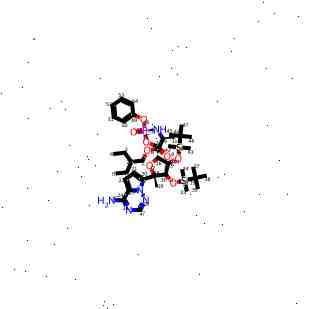 CCC(CC)COC(=O)[C@H](C)N[P@](=O)(OC[C@H]1O[C@@](C)(c2ccc3c(N)ncnn23)C(O[Si](C)(C)C(C)(C)C)C1O[Si](C)(C)C(C)(C)C)Oc1ccccc1